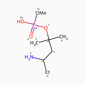 CCC(N)CC(C)(C)OP(=O)(O)OC